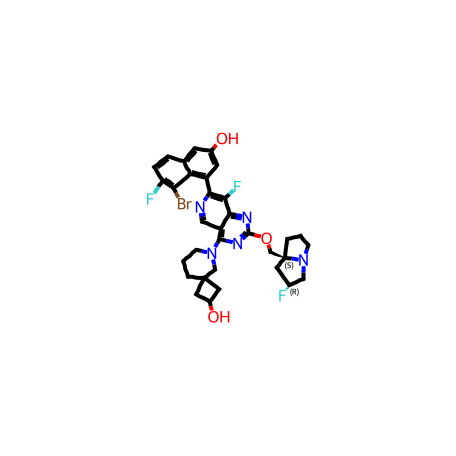 Oc1cc(-c2ncc3c(N4CCCC5(CC(O)C5)C4)nc(OC[C@@]45CCCN4C[C@H](F)C5)nc3c2F)c2c(Br)c(F)ccc2c1